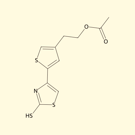 CC(=O)OCCc1csc(-c2csc(S)n2)c1